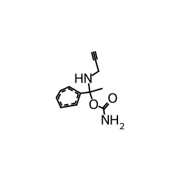 C#CCNC(C)(OC(N)=O)c1ccccc1